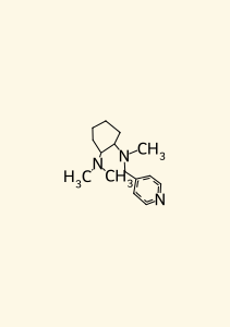 CN(C)C1CCCCC1N(C)Cc1ccncc1